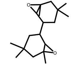 CC1(C)CC(C2CC(C)(C)CC3(C)OC23)C2OC2(C)C1